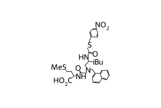 CCC(C)C(CN(CC(=O)NC(CCSC)C(=O)O)Cc1cccc2ccccc12)NC(=O)CSCc1ccc([N+](=O)[O-])cc1